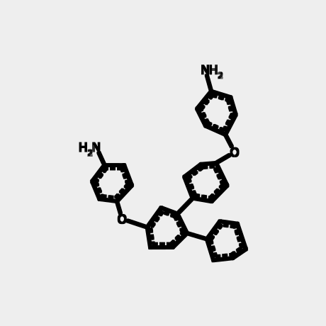 Nc1ccc(Oc2ccc(-c3cc(Oc4ccc(N)cc4)ccc3-c3ccccc3)cc2)cc1